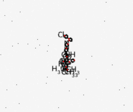 CC(C)N(C(=O)C[C@H](CSc1ccccc1)Nc1ccc(S(=O)(=O)NC(=O)c2ccc(N3CCN(Cc4ccccc4-c4ccc(Cl)cc4)CC3)cc2)cc1[N+](=O)[O-])C(C)C